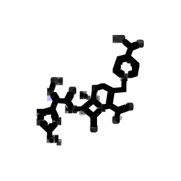 Nc1nc(/C(=N/O)C(=O)N[C@@H]2C(=O)N3C(C(=O)[O-])=C(C[n+]4ccc(C(=O)O)cc4)CS[C@H]23)ns1